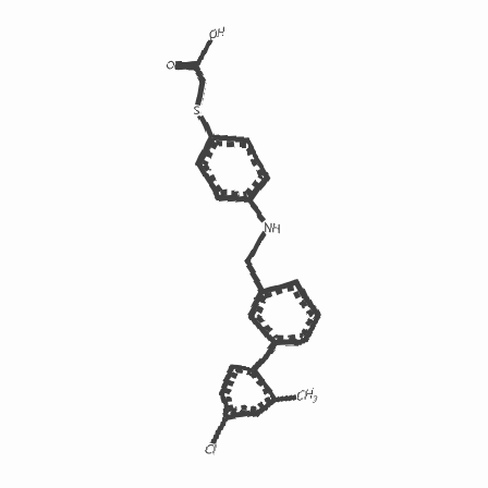 Cc1cc(Cl)ccc1-c1cccc(CNc2ccc(SCC(=O)O)cc2)c1